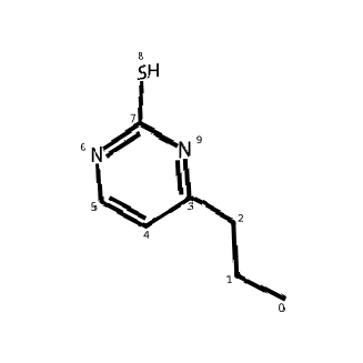 CCCc1ccnc(S)n1